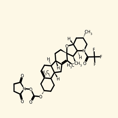 CC1=C2C[C@H]3[C@@H](CC=C4C[C@@H](OC(=O)ON5C(=O)CCC5=O)CC[C@@]43C)[C@@H]2CC[C@]12O[C@@H]1C[C@H](C)CN(C(=O)C(F)(F)F)[C@H]1[C@H]2C